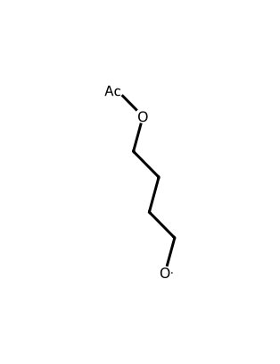 CC(=O)OCCCC[O]